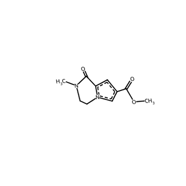 COC(=O)c1cc2n(c1)CCN(C)C2=O